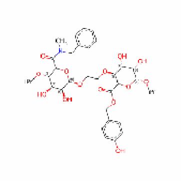 CC(C)O[C@@H]1OC(C(=O)OCc2ccc(O)cc2)[C@@H](OCCO[C@@H]2OC(C(=O)N(C)Cc3ccccc3)[C@@H](OC(C)C)[C@H](O)[C@@H]2O)[C@H](O)[C@@H]1O